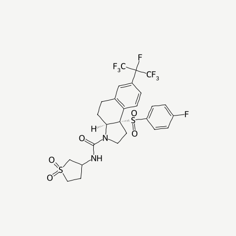 O=C(NC1CCS(=O)(=O)C1)N1CC[C@]2(S(=O)(=O)c3ccc(F)cc3)c3ccc(C(F)(C(F)(F)F)C(F)(F)F)cc3CC[C@H]12